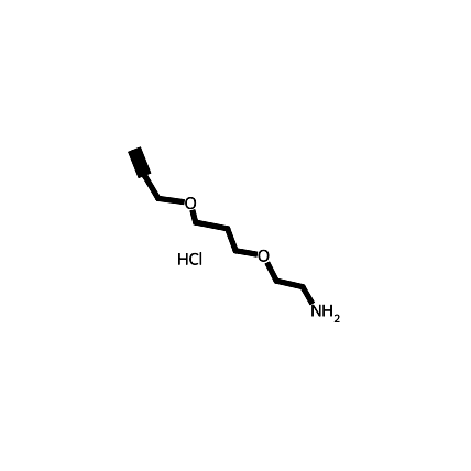 C#CCOCCCOCCN.Cl